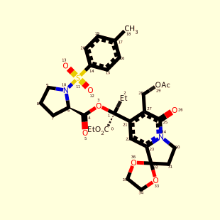 CCOC(=O)[C@@](CC)(OC(=O)[C@H]1CCCN1S(=O)(=O)c1ccc(C)cc1)c1cc2n(c(=O)c1COC(C)=O)CCC21OCCO1